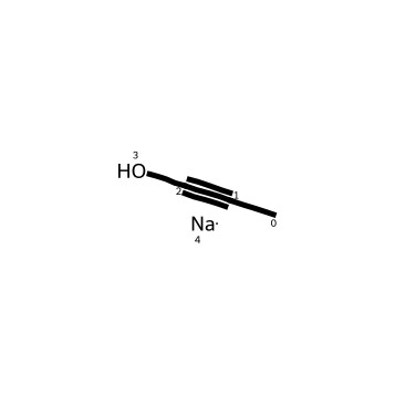 CC#CO.[Na]